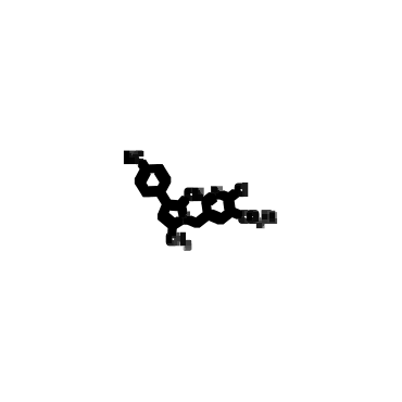 CCOC(=O)c1cc(Cn2c(C)cc(-c3ccc(C#N)cc3)c2C#N)cnc1Cl